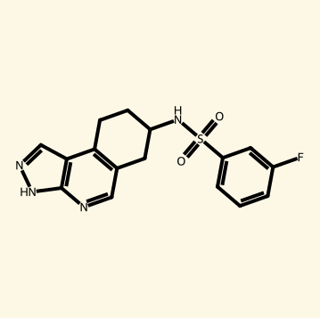 O=S(=O)(NC1CCc2c(cnc3[nH]ncc23)C1)c1cccc(F)c1